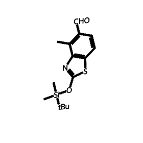 Cc1c(C=O)ccc2sc(O[Si](C)(C)C(C)(C)C)nc12